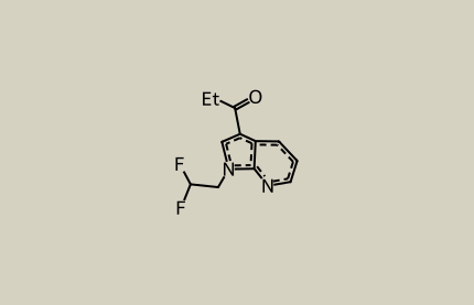 CCC(=O)c1cn(CC(F)F)c2ncccc12